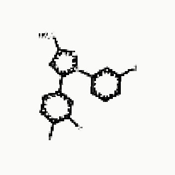 O=C(O)c1cc(-c2ccc(F)c(Cl)c2)n(-c2cccc(Cl)c2)n1